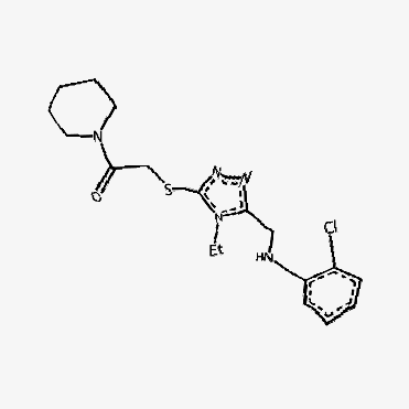 CCn1c(CNc2ccccc2Cl)nnc1SCC(=O)N1CCCCC1